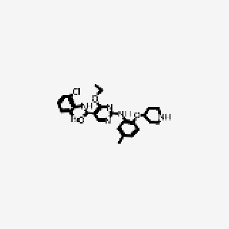 CCOc1nc(Nc2cc(C)ccc2OC2CCNCC2)ncc1C(=O)Nc1c(Cl)cccc1Br